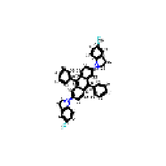 Fc1ccc2c(c1)CCN2c1ccc2c(-c3ccccc3)c3cc(N4CCc5cc(F)ccc54)ccc3c(-c3ccccc3)c2c1